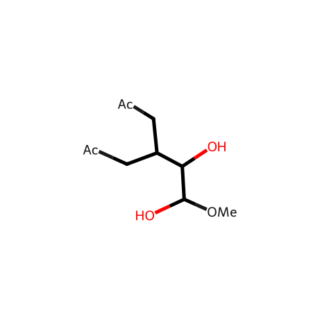 COC(O)C(O)C(CC(C)=O)CC(C)=O